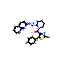 Cc1nc(C(=O)N2CCCC[C@H]2CNc2ccc3cccnc3n2)c(-c2ccc(F)cc2)s1